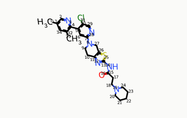 Cc1cnc(-c2cc(N3CCc4nc(NC(=O)CCN5CCCCC5)sc4C3)ncc2Cl)c(C)c1